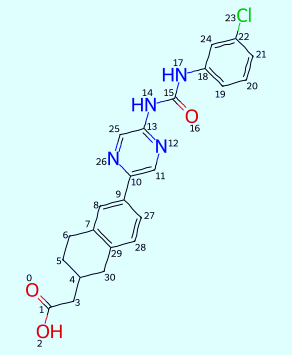 O=C(O)CC1CCc2cc(-c3cnc(NC(=O)Nc4cccc(Cl)c4)cn3)ccc2C1